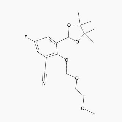 COCCOCOc1c(C#N)cc(F)cc1C1OC(C)(C)C(C)(C)O1